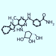 Cc1nc(Nc2cccc(C(N)=O)c2)nc(N[C@@H]2C[C@H](CO)[C@@H](O)[C@H]2O)c1-c1nc2ccccc2s1